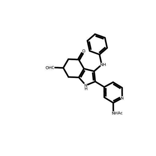 CC(=O)Nc1cc(-c2[nH]c3c(c2Nc2ccccc2)C(=O)CC(C=O)C3)ccn1